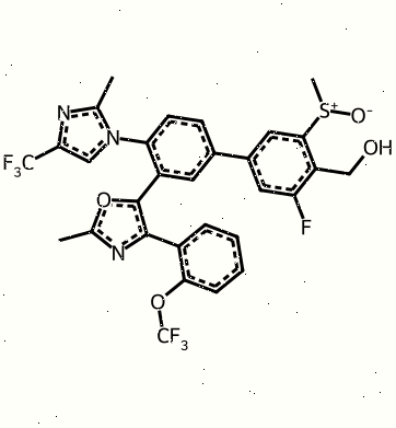 Cc1nc(-c2ccccc2OC(F)(F)F)c(-c2cc(-c3cc(F)c(CO)c([S+](C)[O-])c3)ccc2-n2cc(C(F)(F)F)nc2C)o1